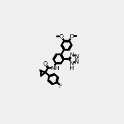 COc1ccc(-c2ccc(NC(=O)C3(c4ccc(F)cc4)CC3)cc2-c2nnn[nH]2)cc1OC